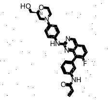 C=CC(=O)Nc1cccc(-c2c(F)ccc3cnc(Nc4ccc(N5CCO[C@H](CO)C5)cc4)nc23)c1